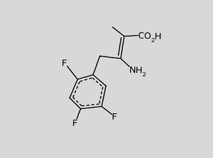 CC(C(=O)O)=C(N)Cc1cc(F)c(F)cc1F